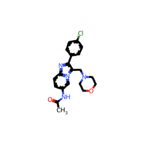 CC(=O)Nc1ccc2nc(-c3ccc(Cl)cc3)c(CN3CCOCC3)n2c1